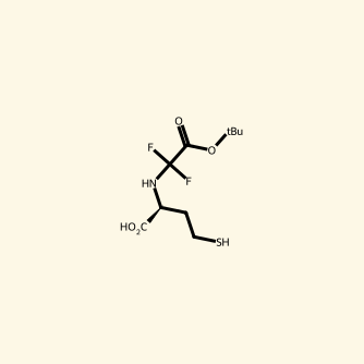 CC(C)(C)OC(=O)C(F)(F)N[C@@H](CCS)C(=O)O